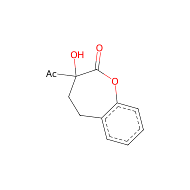 CC(=O)C1(O)CCc2ccccc2OC1=O